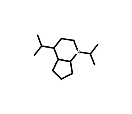 CC(C)C1CCN(C(C)C)C2CCCC12